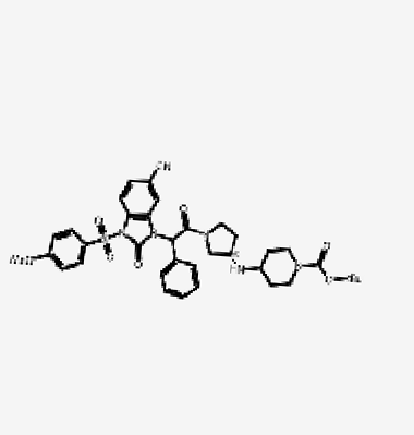 COc1ccc(S(=O)(=O)n2c(=O)n(C(C(=O)N3CC[C@H](NC4CCN(C(=O)OC(C)(C)C)CC4)C3)c3ccccc3)c3cc(C#N)ccc32)cc1